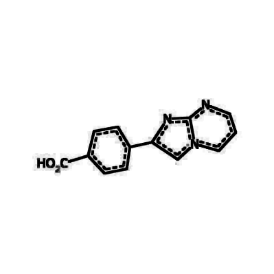 O=C(O)c1ccc(-c2cn3cccnc3n2)cc1